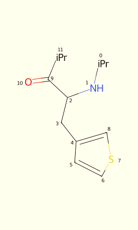 CC(C)NC(Cc1ccsc1)C(=O)C(C)C